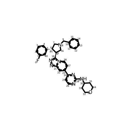 Fc1cccc([C@@H]2CN(Cc3ccccc3)C[C@H]2c2nnc3cc(-c4ccnc(NC5CCOCC5)n4)ccn23)c1